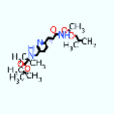 CC(C)COC(C)ONC(=O)/C=C/c1ccc(CNC(C)(C)C(=O)OC(C)(C)C)cn1